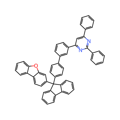 c1ccc(-c2cc(-c3cccc(-c4ccc(C5(c6ccc7c(c6)oc6ccccc67)c6ccccc6-c6ccccc65)cc4)c3)nc(-c3ccccc3)n2)cc1